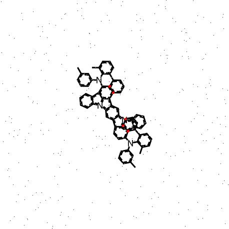 Cc1cccc(N(c2c(C)cccc2-c2ccccc2)c2ccc3c4cc5c(cc4n4c6ccccc6c2c34)c2ccc(N(c3cccc(C)c3)c3c(C)cccc3-c3ccccc3)c3c4ccccc4n5c23)c1